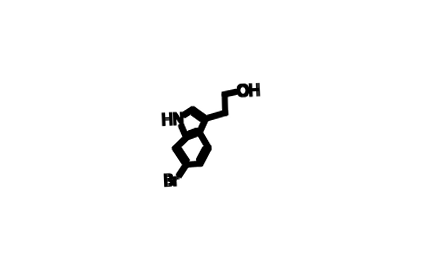 OCCc1c[nH]c2cc(Br)ccc12